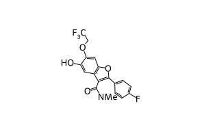 CNC(=O)c1c(-c2ccc(F)cc2)oc2cc(OCC(F)(F)F)c(O)cc12